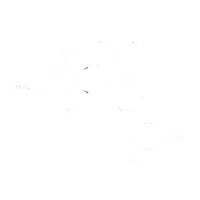 CNC[C@H](O)[C@@H](O)[C@H](Oc1cc(C(O)O)cc2oc(-c3cc(Cl)cc(Cl)c3)nc12)[C@H](O)CO